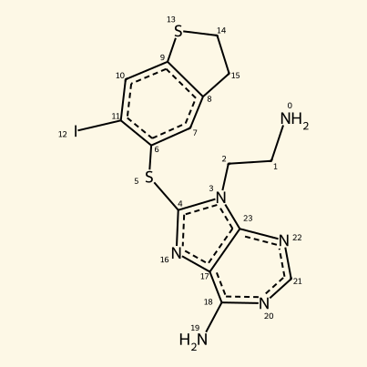 NCCn1c(Sc2cc3c(cc2I)SCC3)nc2c(N)ncnc21